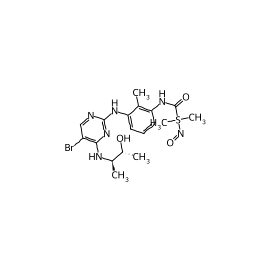 Cc1c(NC(=O)S(C)(C)N=O)cccc1Nc1ncc(Br)c(N[C@H](C)[C@@H](C)O)n1